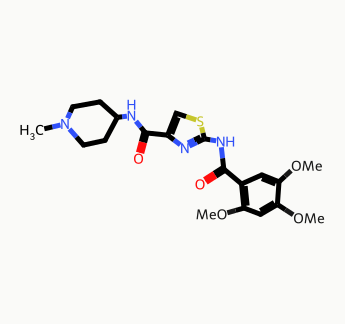 COc1cc(OC)c(C(=O)Nc2nc(C(=O)NC3CCN(C)CC3)cs2)cc1OC